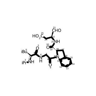 CC[C@H](C)[C@H](NC(C)C)C(=O)NCC(=O)N1c2ccccc2C[C@H]1C(=O)N[C@H](C=O)CC(=O)O